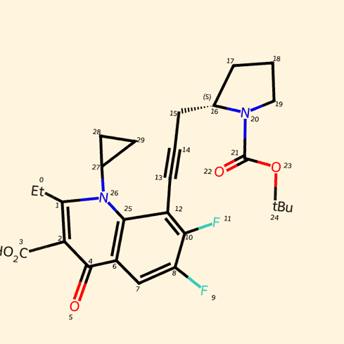 CCc1c(C(=O)O)c(=O)c2cc(F)c(F)c(C#CC[C@@H]3CCCN3C(=O)OC(C)(C)C)c2n1C1CC1